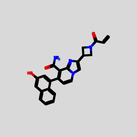 C=CC(=O)N1CC(c2cn3ccc(-c4cc(O)cc5ccccc45)c(C(N)=O)c3n2)C1